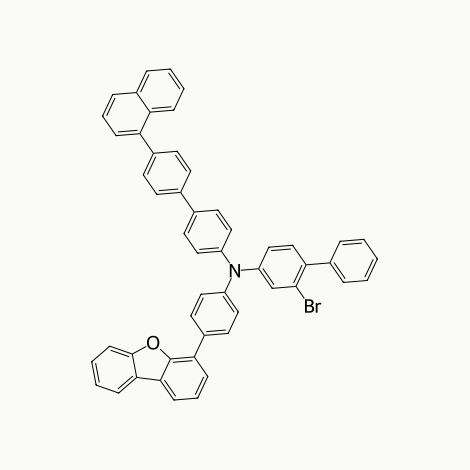 Brc1cc(N(c2ccc(-c3ccc(-c4cccc5ccccc45)cc3)cc2)c2ccc(-c3cccc4c3oc3ccccc34)cc2)ccc1-c1ccccc1